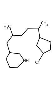 CC(CCC(C)C1CCC(Cl)C1)CC1CCCNC1